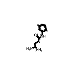 NC(N)CCC(=O)Nc1ccccc1